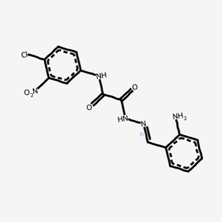 Nc1ccccc1/C=N/NC(=O)C(=O)Nc1ccc(Cl)c([N+](=O)[O-])c1